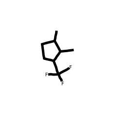 CC1CCC(C(F)(F)F)C1C